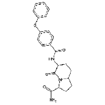 NC(=O)C1CCC2CCC(NC(=O)c3ccc(Oc4ccccc4)cc3)C(=O)N21